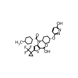 C[C@H]1CC[C@H](C(=O)N(c2cc(C3(C(F)(F)F)CC3)sc2C(=O)O)[C@H]2CC[C@H](Oc3ccc(O)nn3)CC2)CC1